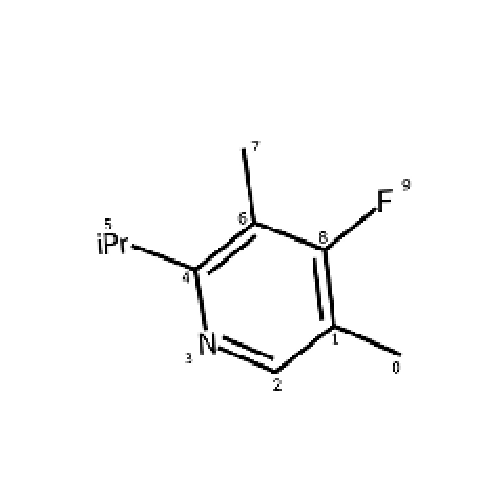 Cc1cnc(C(C)C)c(C)c1F